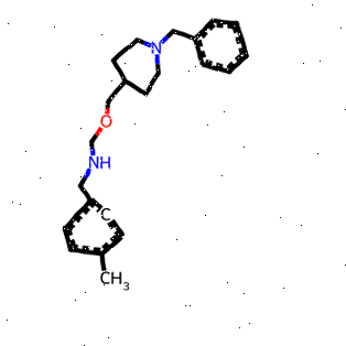 Cc1ccc(CNCOCC2CCN(Cc3ccccc3)CC2)cc1